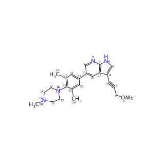 COCC#Cc1c[nH]c2ncc(-c3cc(C)c(N4CCN(C)CC4)c(C)c3)cc12